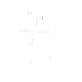 CS(=O)(=O)O[B-](F)(F)F.[Li+]